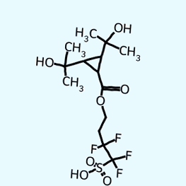 CC(C)(O)C1C(C(=O)OCCC(F)(F)C(F)(F)S(=O)(=O)O)C1C(C)(C)O